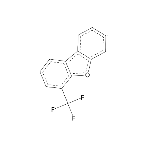 FC(F)(F)c1cccc2c1oc1c[c]ccc12